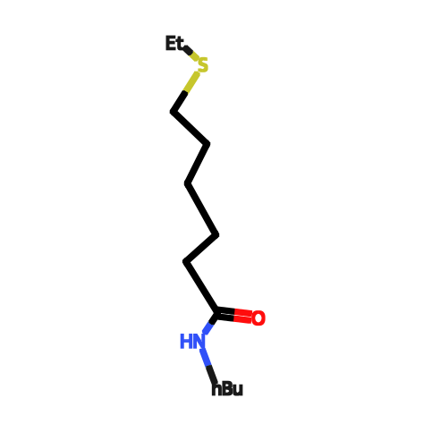 CCCCNC(=O)CCCCCSCC